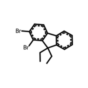 CCC1(CC)c2ccccc2-c2ccc(Br)c(Br)c21